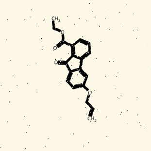 C=CCOc1ccc2c(c1)-c1cccc(C(=O)OCC)c1C2=O